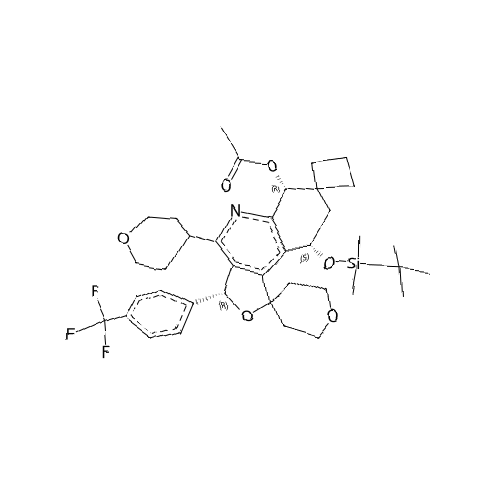 CC(=O)O[C@H]1c2nc(C3CCOCC3)c3c(c2[C@@H](O[Si](C)(C)C(C)(C)C)CC12CCC2)C1(CCOCC1)O[C@@H]3c1ccc(C(F)(F)F)cc1